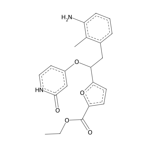 CCOC(=O)c1ccc(C(Cc2cccc(N)c2C)Oc2cc[nH]c(=O)c2)o1